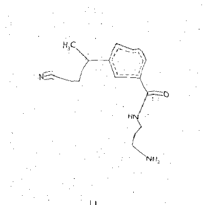 CC(CC#N)c1cccc(C(=O)NCCN)c1